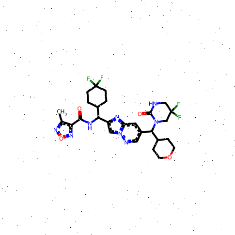 Cc1nonc1C(=O)NC(c1cn2ncc(C(C3CCOCC3)N3CC(F)(F)CNC3=O)cc2n1)C1CCC(F)(F)CC1